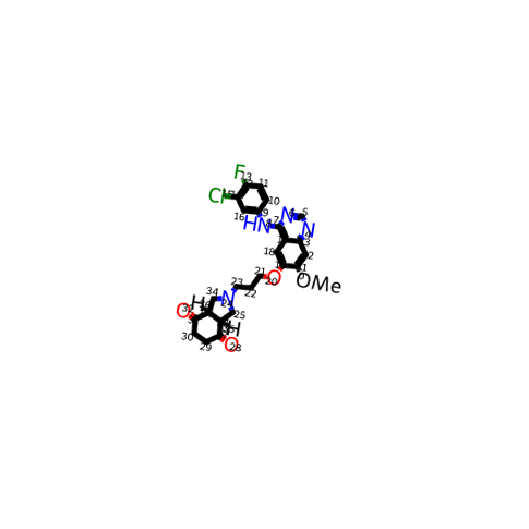 COc1cc2ncnc(Nc3ccc(F)c(Cl)c3)c2cc1OCCCN1C[C@@H]2C(=O)CCC(=O)[C@@H]2C1